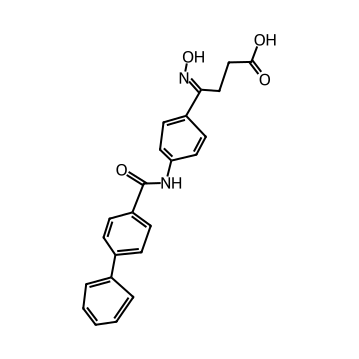 O=C(O)CCC(=NO)c1ccc(NC(=O)c2ccc(-c3ccccc3)cc2)cc1